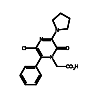 O=C(O)Cn1c(-c2ccccc2)c(Cl)nc(N2CCCC2)c1=O